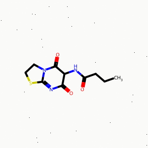 CCCC(=O)NC1C(=O)N=C2SCCN2C1=O